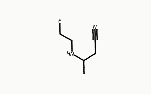 CC(CC#N)NCCF